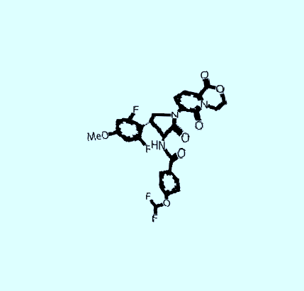 COc1cc(F)c([C@@H]2CN(c3ccc4n(c3=O)CCOC4=O)C(=O)[C@H]2NC(=O)c2ccc(OC(F)F)cc2)c(F)c1